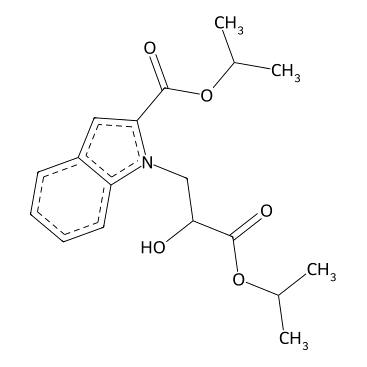 CC(C)OC(=O)c1cc2ccccc2n1CC(O)C(=O)OC(C)C